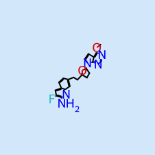 COc1ncnc2c1ccn2C1CCC(CCc2ccc3cc(F)c(N)nc3c2)O1